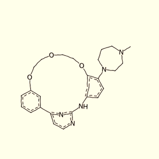 CN1CCCN(c2ccc3cc2OCCOCCOc2cccc(c2)-c2ccnc(n2)N3)CC1